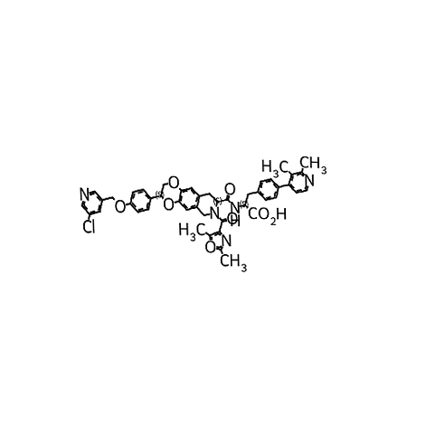 Cc1nc(C(=O)N2Cc3cc4c(cc3C[C@H]2C(=O)N[C@@H](Cc2ccc(-c3ccnc(C)c3C)cc2)C(=O)O)OC[C@H](c2ccc(OCc3cncc(Cl)c3)cc2)O4)c(C)o1